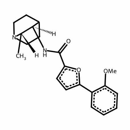 COc1ccccc1-c1ccc(C(=O)N[C@@H]2C3CCN(CC3)[C@H]2C)o1